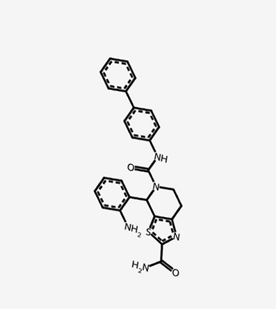 NC(=O)c1nc2c(s1)C(c1ccccc1N)N(C(=O)Nc1ccc(-c3ccccc3)cc1)CC2